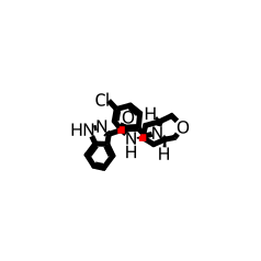 O=C(N[C@H]1C[C@H]2COC[C@@H](C1)N2Cc1ccc(Cl)cc1)c1n[nH]c2ccccc12